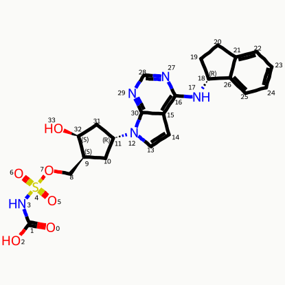 O=C(O)NS(=O)(=O)OC[C@@H]1C[C@@H](n2ccc3c(N[C@@H]4CCc5ccccc54)ncnc32)C[C@@H]1O